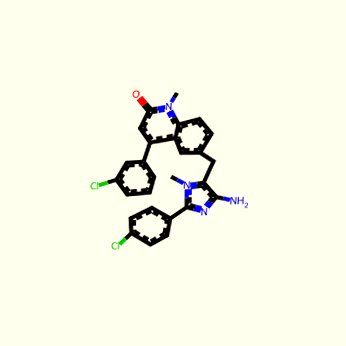 Cn1c(-c2ccc(Cl)cc2)nc(N)c1Cc1ccc2c(c1)c(-c1cccc(Cl)c1)cc(=O)n2C